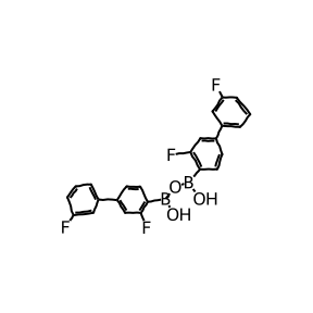 OB(OB(O)c1ccc(-c2cccc(F)c2)cc1F)c1ccc(-c2cccc(F)c2)cc1F